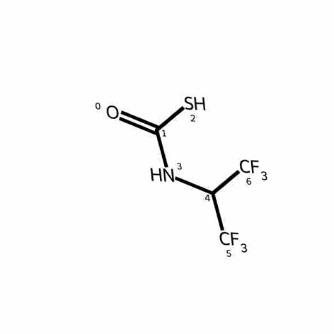 O=C(S)NC(C(F)(F)F)C(F)(F)F